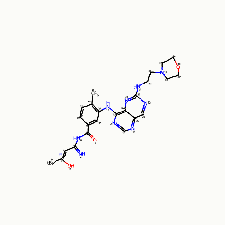 CC(C)(C)/C(O)=C/C(=N)NC(=O)c1ccc(C(F)(F)F)c(Nc2ncnc3cnc(NCCN4CCOCC4)nc23)c1